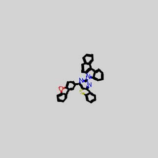 c1ccc2c(c1)ccc1c2c2ccccc2n1-c1nc(-c2ccc3oc4ccccc4c3c2)c2sc3ccccc3c2n1